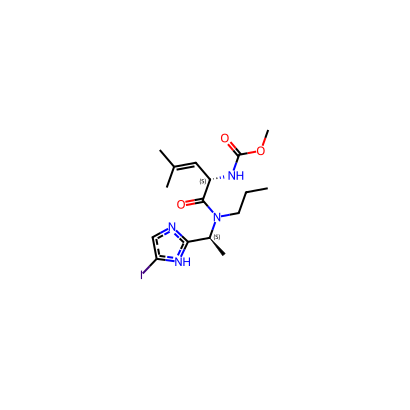 CCCN(C(=O)[C@H](C=C(C)C)NC(=O)OC)[C@@H](C)c1ncc(I)[nH]1